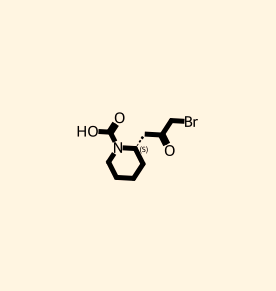 O=C(CBr)C[C@@H]1CCCCN1C(=O)O